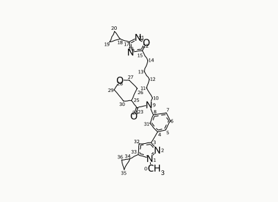 Cn1nc(-c2cccc(N(CCCCCc3nc(C4CC4)no3)C(=O)C3CCOCC3)c2)cc1C1CC1